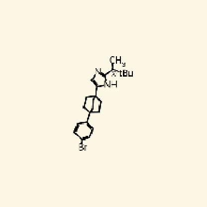 C[C@H](c1ncc(C23CCC(c4ccc(Br)cc4)(CC2)CC3)[nH]1)C(C)(C)C